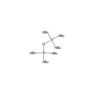 CCC[CH2][Ti]([CH2]CCC)([CH2]CCC)[O][Ti]([CH2]CCC)([CH2]CCC)[CH2]CCC